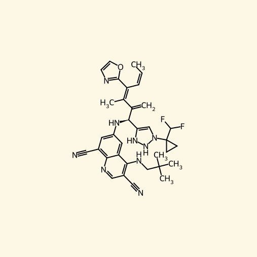 C=C(/C(C)=C(\C=C/C)c1ncco1)[C@H](Nc1cc(C#N)c2ncc(C#N)c(NCC(C)(C)C)c2c1)C1=CN(C2(C(F)F)CC2)NN1